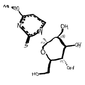 COc1ccn([C@H]2OC(CO)[C@@H](O)C(O)[C@@H]2O)c(=S)n1